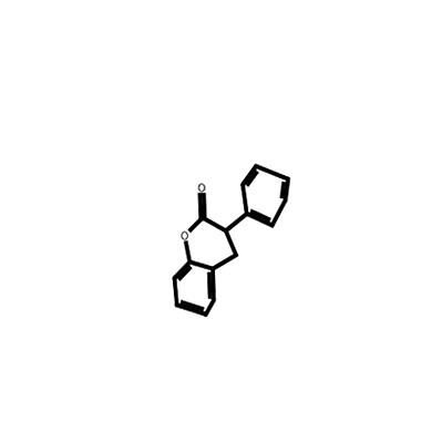 O=C1Oc2ccccc2C[C]1c1ccccc1